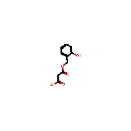 O=C(O)CC(=O)OCc1ccccc1O